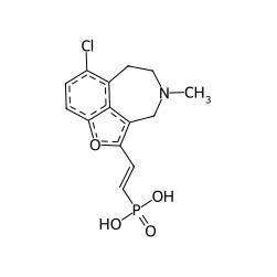 CN1CCc2c(Cl)ccc3oc(C=CP(=O)(O)O)c(c23)C1